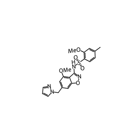 COc1cc(C)ccc1S(=O)(=O)Nc1noc2cc(Cn3cccn3)cc(OC)c12